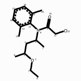 CCOC(C)CC(C)N(C(=O)CCl)c1c(C)cccc1C